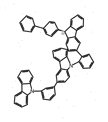 c1ccc(-c2ccc([C@H]3c4ccccc4-c4cc(-c5ccccc5-n5c6ccccc6c6cc(-c7cccc(-n8c9ccccc9c9ccccc98)c7)ccc65)ccc43)cc2)cc1